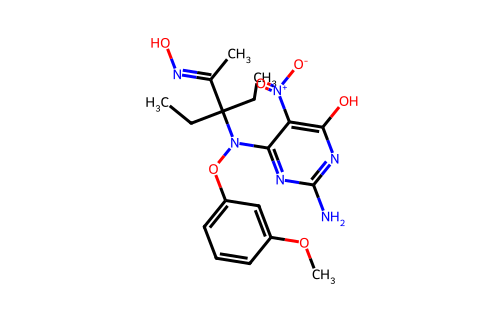 CCC(CC)(C(C)=NO)N(Oc1cccc(OC)c1)c1nc(N)nc(O)c1[N+](=O)[O-]